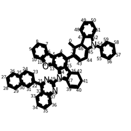 CC1C(c2cc3c4ccccc4oc3c3c2c2c(n3-c3nc(-c4ccc5ccccc5c4)c4ccccc4n3)C=CCC2)=CC=C2C1c1ccccc1N2c1ccccc1